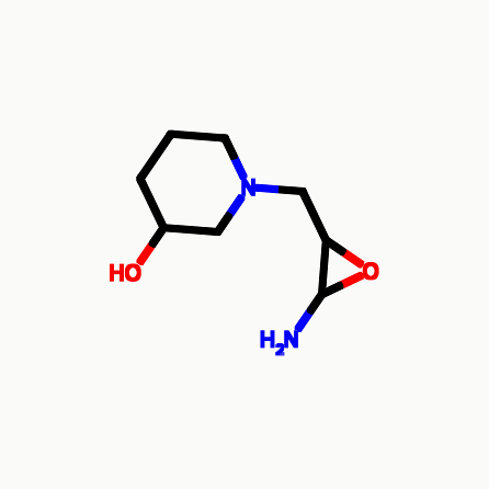 NC1OC1CN1CCCC(O)C1